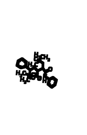 CC(C)(C)CC(C(=O)Nc1ccccc1)C(CC(c1ccccc1)C(C)(C)C)C(=O)O